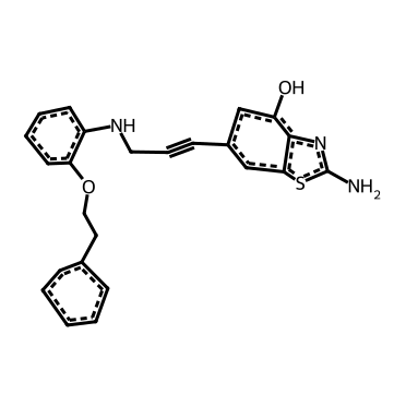 Nc1nc2c(O)cc(C#CCNc3ccccc3OCCc3ccccc3)cc2s1